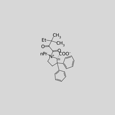 CCC[N+]1(C(=O)C(=O)C(C)(C)CC)CCC(c2ccccc2)(c2ccccc2)[C@H]1C(=O)[O-]